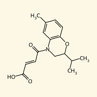 Cc1ccc2c(c1)N(C(=O)C=CC(=O)O)CC(C(C)C)O2